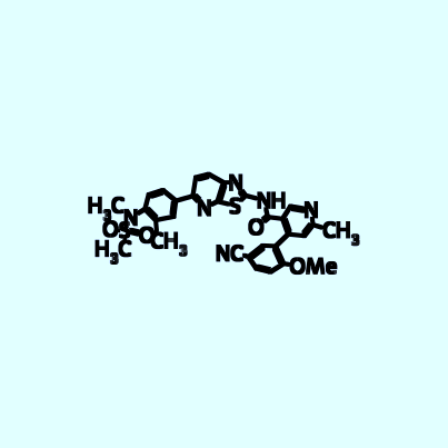 COc1ccc(C#N)cc1-c1cc(C)ncc1C(=O)Nc1nc2ccc(-c3ccc(N(C)S(C)(=O)=O)c(C)c3)nc2s1